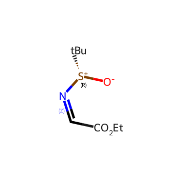 CCOC(=O)/C=N\[S@@+]([O-])C(C)(C)C